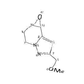 COCc1cc2n(n1)CCC1OC21